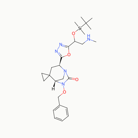 CNCC(O[Si](C)(C)C(C)(C)C)c1nnc([C@@H]2CC3(CC3)[C@@H]3CN2C(=O)N3OCc2ccccc2)o1